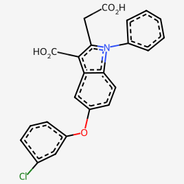 O=C(O)Cc1c(C(=O)O)c2cc(Oc3cccc(Cl)c3)ccc2n1-c1ccccc1